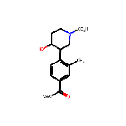 COC(=O)c1ccc(C2CN(C(=O)O)CCC2O)c(C)c1